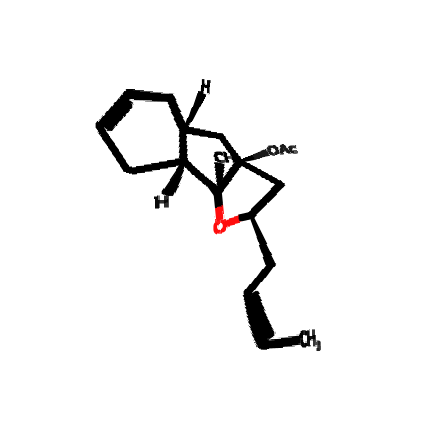 C/C=C\C[C@@H]1C[C@@]2(OC(C)=O)C[C@H]3CC=CC[C@H]3[C@@]2(C)O1